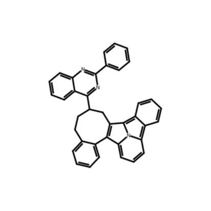 c1ccc(-c2nc(C3CCc4ccccc4-c4c(c5c6ccccc6c6cccc4n65)C3)c3ccccc3n2)cc1